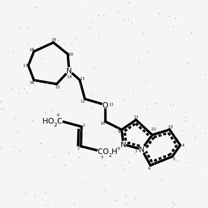 O=C(O)C=CC(=O)O.c1ccn2nc(COCCN3CCCCCC3)cc2c1